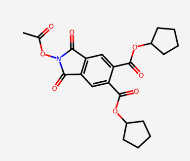 CC(=O)ON1C(=O)c2cc(C(=O)OC3CCCC3)c(C(=O)OC3CCCC3)cc2C1=O